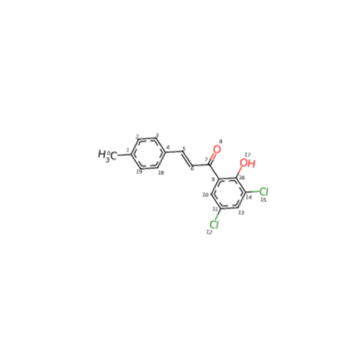 Cc1ccc(C=CC(=O)c2cc(Cl)cc(Cl)c2O)cc1